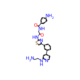 NCCNc1cc(-c2cccc(-c3csc(NC(=O)CNC(=O)c4ccc(N)cc4)n3)c2)ccn1